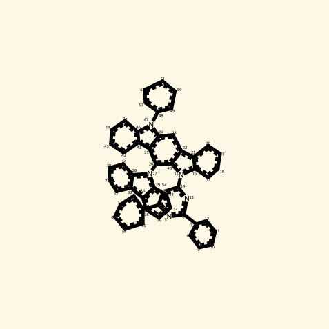 c1ccc(-c2nc(-c3ccccc3)nc(-n3c4ccccc4c4cc5c(c(-n6c7ccccc7c7ccccc76)c43)c3ccccc3n5-c3ccccc3)n2)cc1